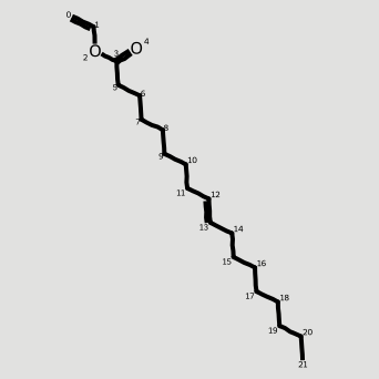 C=COC(=O)CCCCCCCC=CCCCCCCCC